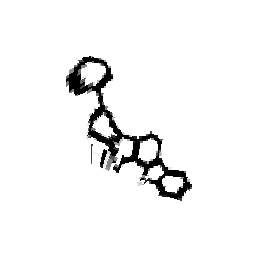 c1ccc(-c2ccc3[nH]c4c(c3c2)CCc2c-4sc3ccccc23)cc1